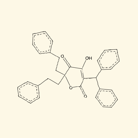 O=C1OC(CCc2ccccc2)(CCc2ccccc2)C(=O)C(O)=C1C(c1ccccc1)c1ccccc1